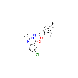 CC(C)c1nc2ccc(Cl)cc2c(=O)n1NC(=O)C[C@@H]1CC[C@H]2C[C@@H]1C2(C)C